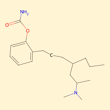 CCCC(CCCc1ccccc1OC(N)=O)CC(C)N(C)C